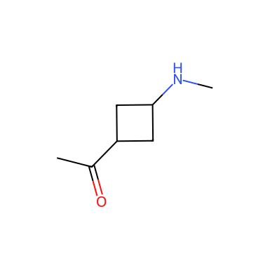 CNC1CC(C(C)=O)C1